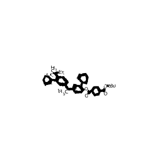 CCC(C)(C)c1ccc(C(C)c2ccc(OC(=O)c3ccc(C(=O)OC(C)(C)C)cc3)c(C3CCCCC3)c2)cc1C1CCCCC1